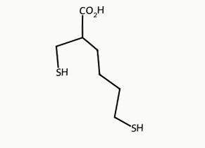 O=C(O)C(CS)CCCCS